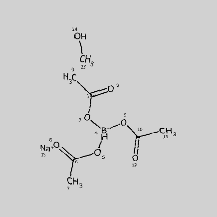 CC(=O)O[BH-](OC(C)=O)OC(C)=O.CO.[Na+]